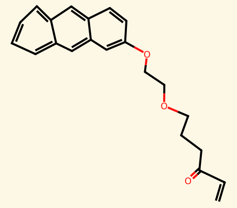 C=CC(=O)CCCOCCOc1ccc2cc3ccccc3cc2c1